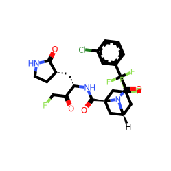 O=C1NCC[C@H]1C[C@H](NC(=O)[C@@]12C[C@@H](CC(F)(F)C1)N2C(=O)C(F)(F)c1cccc(Cl)c1)C(=O)CF